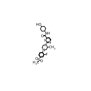 CC1CN(c2ccc(S(C)(=O)=O)cc2F)CCN1c1nccc(C(=O)NC2CCC(O)CC2)n1